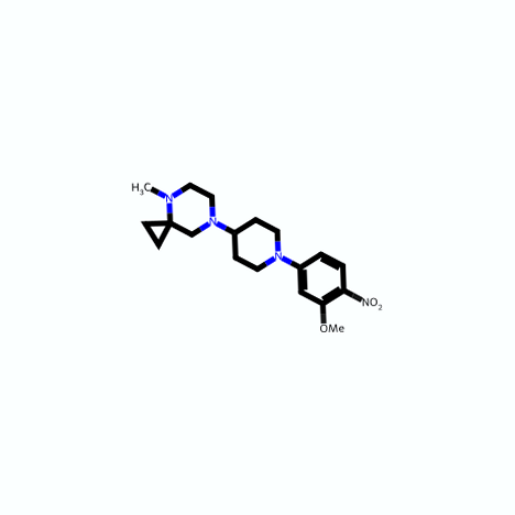 COc1cc(N2CCC(N3CCN(C)C4(CC4)C3)CC2)ccc1[N+](=O)[O-]